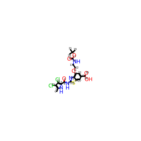 Cc1[nH]c(C(=O)Nc2nc3c(OCCNC(=O)OC(C)(C)C)cc(C(=O)O)cc3s2)c(Cl)c1Cl